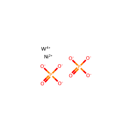 O=P([O-])([O-])[O-].O=P([O-])([O-])[O-].[Ni+2].[W+4]